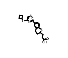 O=C(O)CCC1CCc2cc(-c3cncc(OC4CCC4)n3)ccc2S1